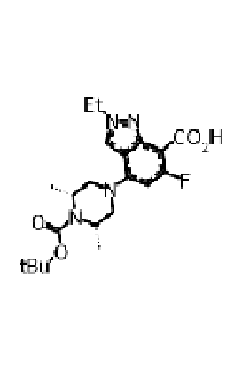 CCn1cc2c(N3C[C@@H](C)N(C(=O)OC(C)(C)C)[C@@H](C)C3)cc(F)c(C(=O)O)c2n1